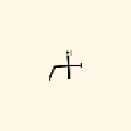 CCC(C)(I)[CH]I